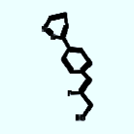 OCC(F)=Cc1ccc(-c2cccnn2)cc1